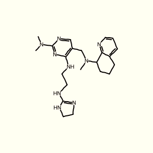 CN(C)c1ncc(CN(C)C2CCCc3cccnc32)c(NCCNC2=NCCN2)n1